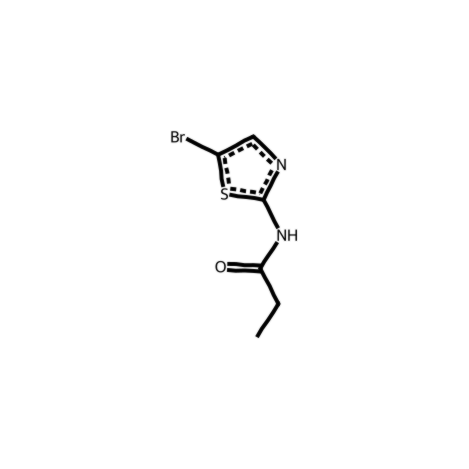 CCC(=O)Nc1ncc(Br)s1